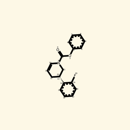 O=C(Oc1ccccc1)N1C=CC[C@@H](c2ccccc2F)C1